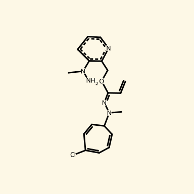 C=C/C(=N\N(C)C1C=CC=C(Cl)C=C1)OCc1ncccc1N(C)N